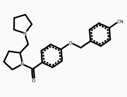 N#Cc1ccc(COc2ccc(C(=O)N3CCCC3CN3CCCC3)cc2)cc1